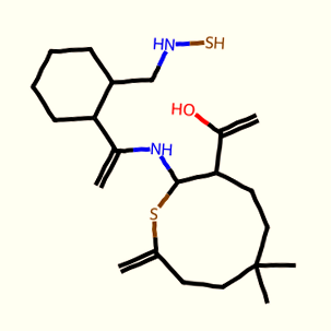 C=C1CCC(C)(C)CCC(C(=C)O)C(NC(=C)C2CCCCC2CNS)S1